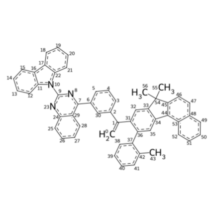 C=C(c1cccc(-c2nc(-n3c4ccccc4c4ccccc43)nc3ccccc23)c1)c1cc2c(cc1-c1ccccc1C)-c1c(ccc3ccccc13)C2(C)C